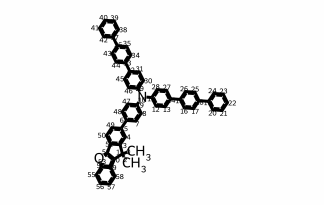 CC1(C)c2cc(-c3ccc(N(c4ccc(-c5ccc(-c6ccccc6)cc5)cc4)c4ccc(-c5ccc(-c6ccccc6)cc5)cc4)cc3)ccc2-c2oc3ccccc3c21